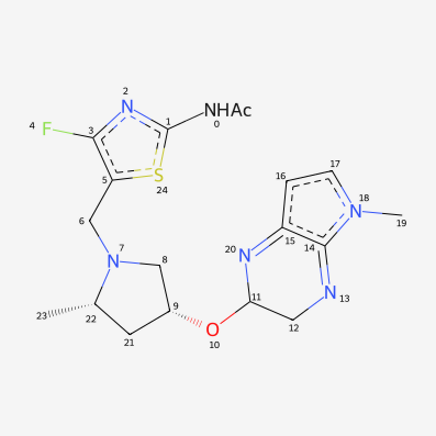 CC(=O)Nc1nc(F)c(CN2C[C@H](OC3CN=c4c(ccn4C)=N3)C[C@@H]2C)s1